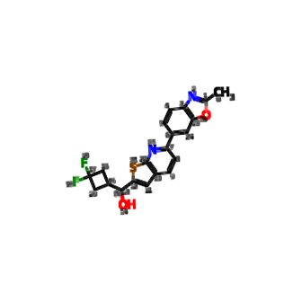 Cc1nc2ccc(-c3ccc4cc([C@@H](O)C5CC(F)(F)C5)sc4n3)cc2o1